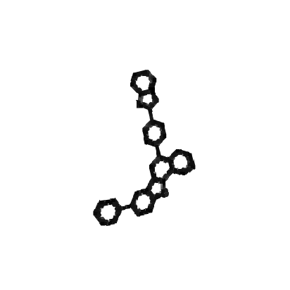 c1ccc(-c2ccc3oc4c5ccccc5c(-c5ccc(-c6cn7ccccc7n6)cc5)cc4c3c2)cc1